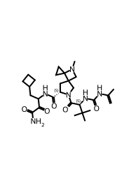 C=C(C)NC(=O)N[C@H](C(=O)N1CC2(C[C@H]1C(=O)NC(CC1CCC1)C(=O)C(N)=O)CN(C)C21CC1)C(C)(C)C